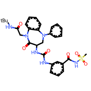 CC(C)(C)NC(=O)CN1C(=O)C(NC(=O)Nc2cccc(C(=O)NS(C)(=O)=O)c2)CN(c2ccccc2)c2ccccc21